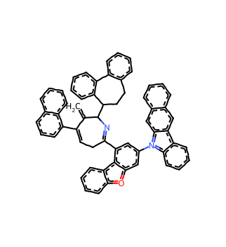 C=C1C(c2cccc3ccccc23)=CCC(c2cc(-n3c4ccccc4c4cc5ccccc5cc43)cc3oc4ccccc4c23)=NC1C1CCc2ccccc2-c2ccccc21